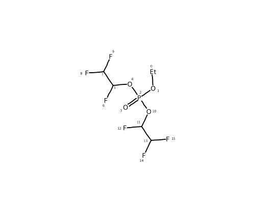 CCOP(=O)(OC(F)C(F)F)OC(F)C(F)F